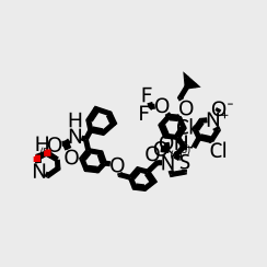 O=C(NC(c1ccccc1)c1cccc(OCc2cccc(C(=O)N3CCS[C@]3(C(=O)O)[C@@H](Cc3c(Cl)c[n+]([O-])cc3Cl)c3ccc(OC(F)F)c(OCC4CC4)c3)c2)c1)O[C@H]1CN2CCC1CC2